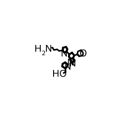 NCCCCc1cccc(-c2cc(C3=CCOCC3)c3cnn(-c4cccc(CO)n4)c3c2)n1